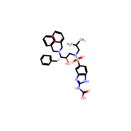 CC(C)CN(C[C@@H](O)[C@H](Cc1ccccc1)N(Cc1ccccc1)Cc1ccccc1)S(=O)(=O)c1ccc2[nH]c(NC(=O)O)nc2c1